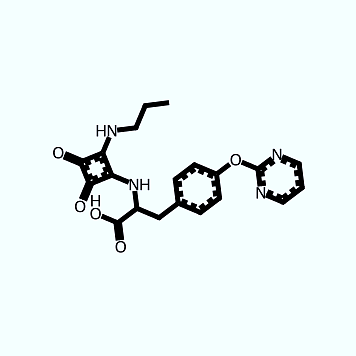 CCCNc1c(NC(Cc2ccc(Oc3ncccn3)cc2)C(=O)O)c(=O)c1=O